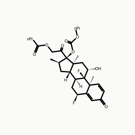 CCCOC(=O)O[C@]1(C(=O)COC(=O)CCC)[C@H](C)C[C@H]2[C@@H]3C[C@H](F)C4=CC(=O)C=C[C@]4(C)[C@@]3(F)[C@@H](O)C[C@@]21C